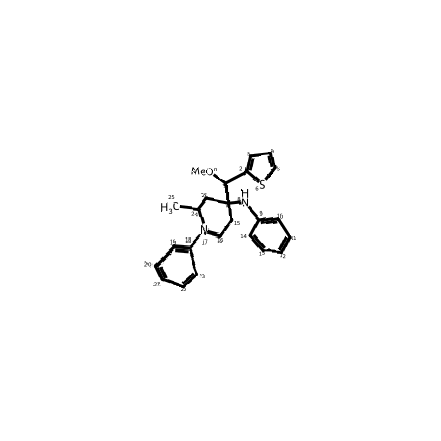 COC(c1cccs1)C1(Nc2ccccc2)CCN(c2ccccc2)C(C)C1